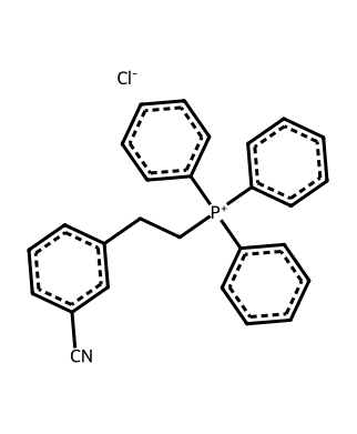 N#Cc1cccc(CC[P+](c2ccccc2)(c2ccccc2)c2ccccc2)c1.[Cl-]